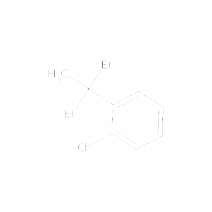 CCC(C)(CC)c1ccccc1Cl